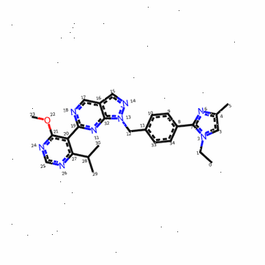 CCn1cc(C)nc1-c1ccc(Cn2ncc3cnc(-c4c(OC)ncnc4C(C)C)nc32)cc1